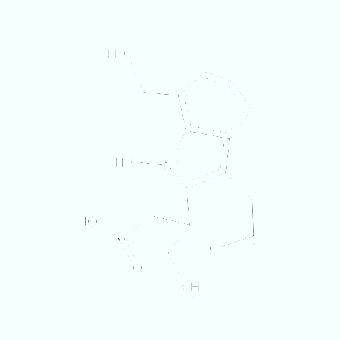 CCc1cccc2c3c(n(C)c12)C(CC)(CC(=O)O)OCC3